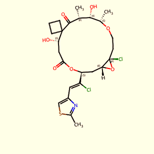 Cc1nc(C=C(Cl)[C@@H]2C[C@H]3O[C@@]3(Cl)CCO[C@@H](C)[C@@H](O)[C@@H](C)C(=O)C3(CCC3)[C@@H](O)CC(=O)O2)cs1